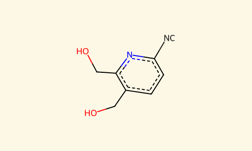 [C-]#[N+]c1ccc(CO)c(CO)n1